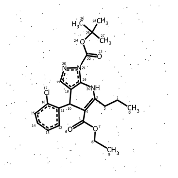 CCCC1=C(C(=O)OCC)C(c2ccccc2Cl)c2cnn(C(=O)OC(C)(C)C)c2N1